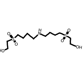 O=S(=O)(CCO)CCCCNCCCCS(=O)(=O)CCO